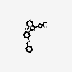 CCC1(O)CC(C2=C3C=NC=C[N+]3(Cl)C(c3cccc(OCc4ccccc4)c3)=N2)C1